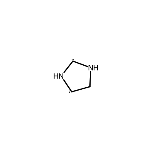 [C]1CN[C]N1